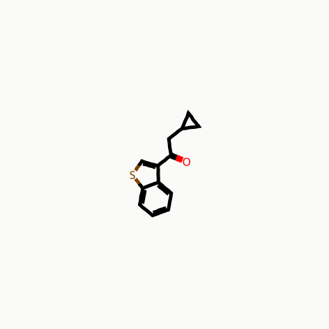 O=C(CC1CC1)c1csc2ccccc12